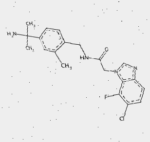 Cc1cc(C(C)(C)N)ccc1CNC(=O)Cn1cnc2ccc(Cl)c(F)c21